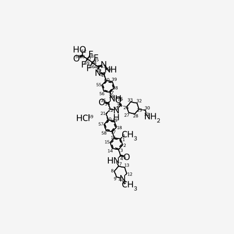 Cc1cc(C(=O)NC2CCN(C)CC2)ccc1-c1ccc(C[C@H](NC(=O)[C@H]2CC[C@H](CN)CC2)C(=O)Nc2ccc(-c3nc(C(F)(F)C(F)(F)C(=O)O)n[nH]3)cc2)cc1.Cl